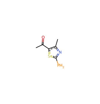 CC(=O)c1sc(P)nc1C